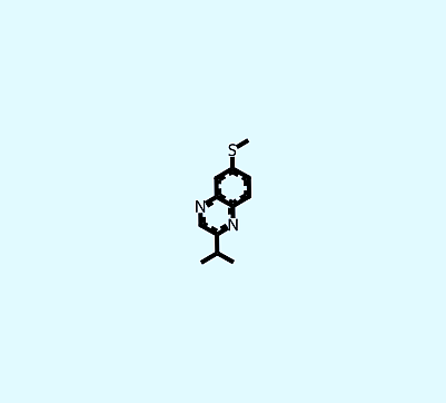 CSc1ccc2nc(C(C)C)cnc2c1